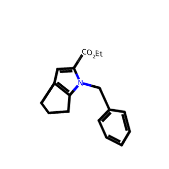 CCOC(=O)c1cc2c(n1Cc1ccccc1)CCC2